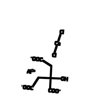 O=C([O-])CC(O)(CC(=O)[O-])C(=O)[O-].[Al+3].[Cl][Ca][Cl]